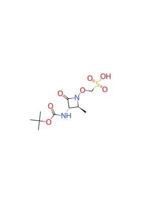 C[C@H]1[C@H](NC(=O)OC(C)(C)C)C(=O)N1OCS(=O)(=O)O